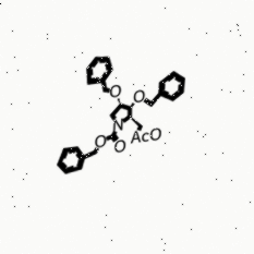 CC(=O)OC[C@@H]1[C@H](OCc2ccccc2)[C@@H](OCc2ccccc2)CN1C(=O)OCc1ccccc1